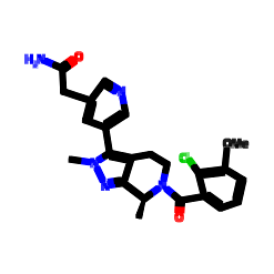 COc1cccc(C(=O)N2CCc3c(nn(C)c3-c3cncc(CC(N)=O)c3)[C@@H]2C)c1Cl